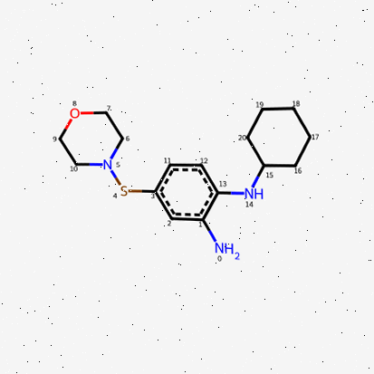 Nc1cc(SN2CCOCC2)ccc1NC1CCCCC1